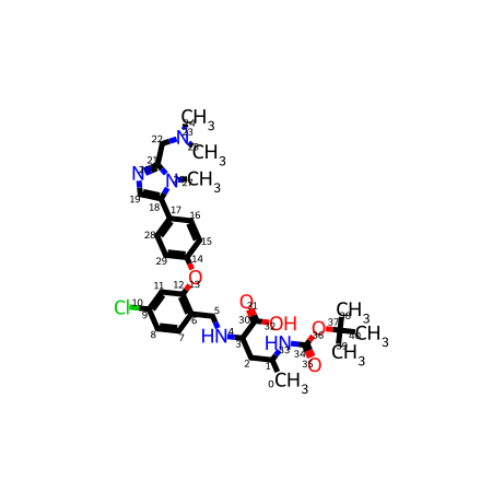 CC(CC(NCc1ccc(Cl)cc1Oc1ccc(-c2cnc(CN(C)C)n2C)cc1)C(=O)O)NC(=O)OC(C)(C)C